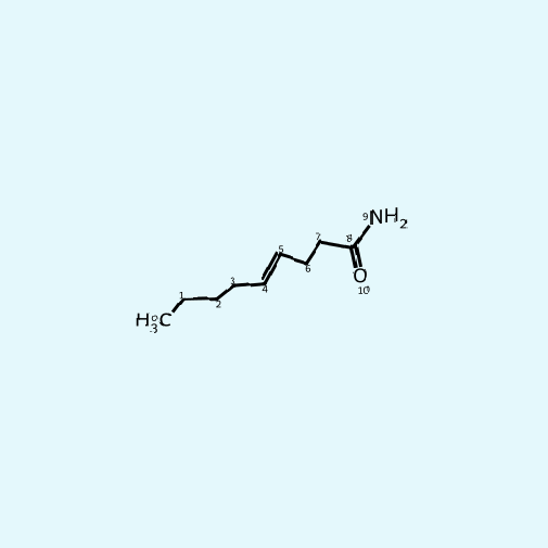 CCCCC=CCCC(N)=O